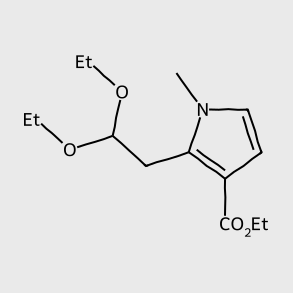 CCOC(=O)c1ccn(C)c1CC(OCC)OCC